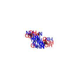 CCNC(=O)[C@H]1O[C@@H](n2cnc3c(N[C@@H]4CCN(C(=O)N5CC[C@@H](Nc6nc(N7CC[C@@H](N(C)C)C7)nc7c6ncn7[C@@H]6O[C@H](C(=O)NCC)[C@@H](O)[C@H]6O)C5)C4)nc(N4CC[C@@H](N(C)C)C4)nc32)[C@H](O)[C@@H]1O